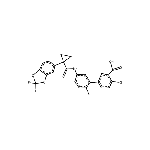 Cc1ccc(NC(=O)C2(c3ccc4c(c3)OC(F)(F)O4)CC2)cc1-c1ccc(Cl)c(C(=O)O)c1